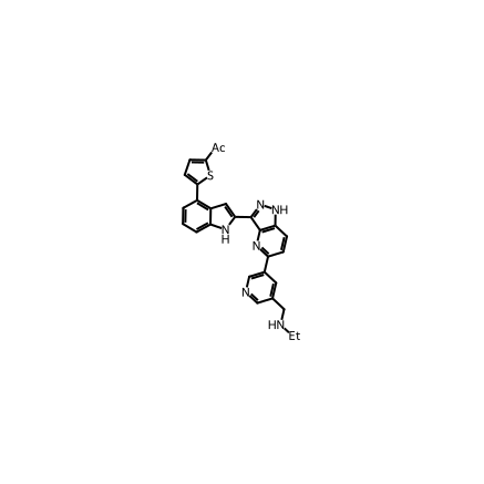 CCNCc1cncc(-c2ccc3[nH]nc(-c4cc5c(-c6ccc(C(C)=O)s6)cccc5[nH]4)c3n2)c1